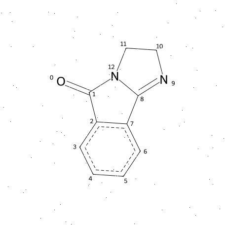 O=C1c2ccccc2C2=NCCN12